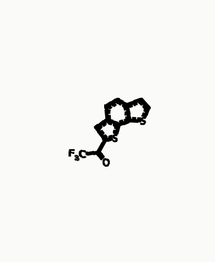 O=C(c1cc2ccc3ccsc3c2s1)C(F)(F)F